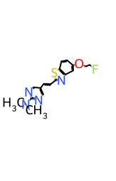 CN(C)c1ncc(/C=C/c2nc3cc(OCCF)ccc3s2)cn1